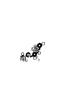 CCS(=O)(=O)c1ccc(Cl)cc1CNC(=O)c1ccc(CN2CCC[C@H](NC(=O)[C@H](C)N)C2)c(C(F)(F)F)c1